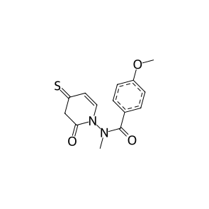 COc1ccc(C(=O)N(C)N2C=CC(=S)CC2=O)cc1